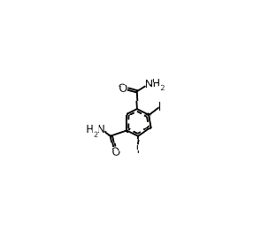 NC(=O)c1cc(C(N)=O)c(I)cc1I